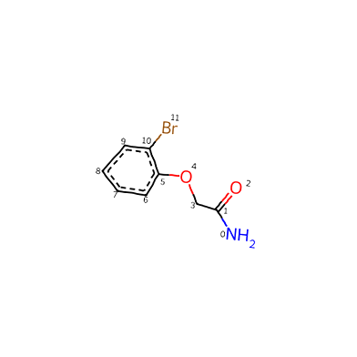 NC(=O)COc1ccccc1Br